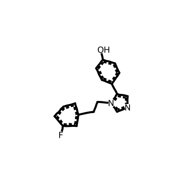 Oc1ccc(-c2cncn2CCc2cccc(F)c2)cc1